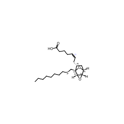 CCCCCCCCSC[C@]12O[C@H](C[C@H]1C/C=C\CCCC(=O)O)[C@@H]1O[C@@H]12